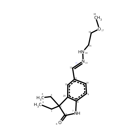 CCC1(CC)C(=O)Nc2ccc(/C=N/NCCOC)cc21